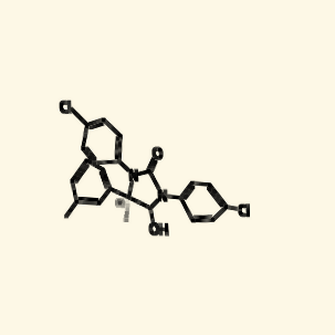 Cc1cccc([C@]2(C)C(O)N(c3ccc(Cl)cc3)C(=O)N2c2ccc(Cl)cc2)c1